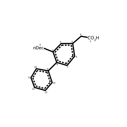 CCCCCCCCCCc1cc(CC(=O)O)ccc1-c1ccccc1